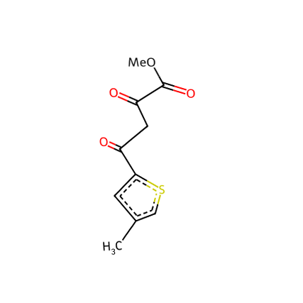 COC(=O)C(=O)CC(=O)c1cc(C)cs1